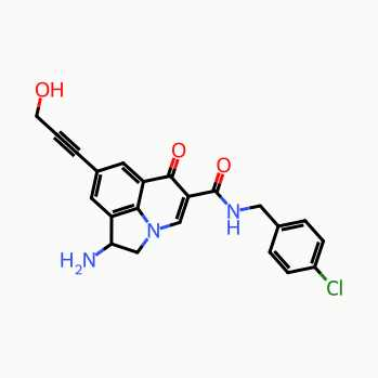 NC1Cn2cc(C(=O)NCc3ccc(Cl)cc3)c(=O)c3cc(C#CCO)cc1c32